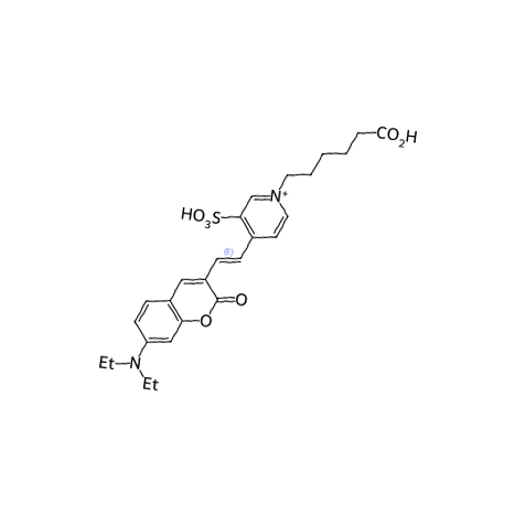 CCN(CC)c1ccc2cc(/C=C/c3cc[n+](CCCCCC(=O)O)cc3S(=O)(=O)O)c(=O)oc2c1